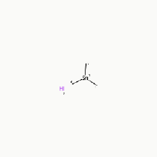 I.[CH3][Sn]([CH3])[CH3]